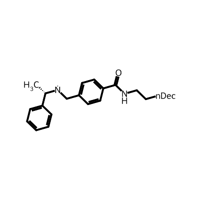 CCCCCCCCCCCCNC(=O)c1ccc(C[N][C@@H](C)c2ccccc2)cc1